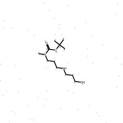 CN(CCCNCCCO)C(=O)OC(C)(C)C